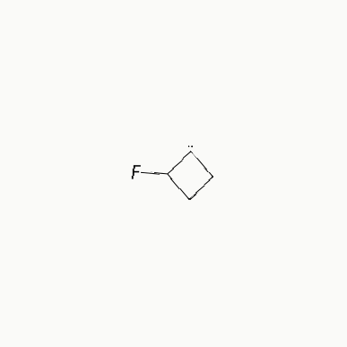 FC1[C]CC1